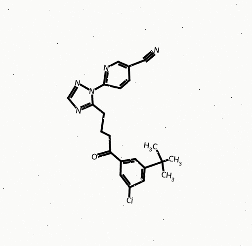 CC(C)(C)c1cc(Cl)cc(C(=O)CCCc2ncnn2-c2ccc(C#N)cn2)c1